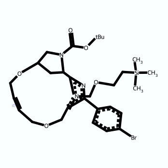 CC(C)(C)OC(=O)N1CC2CC1c1nc(-c3ccc(Br)cc3)c(n1COCC[Si](C)(C)C)COC/C=C\CO2